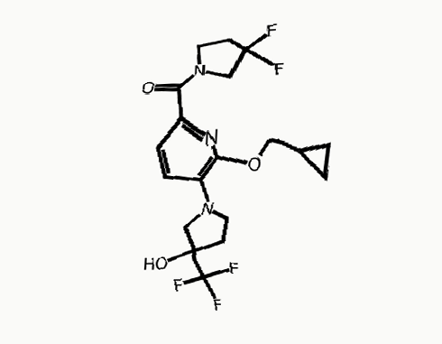 O=C(c1ccc(N2CCC(O)(C(F)(F)F)C2)c(OCC2CC2)n1)N1CCC(F)(F)C1